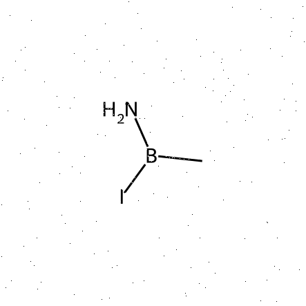 CB(N)I